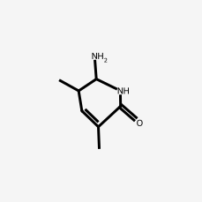 CC1=CC(C)C(N)NC1=O